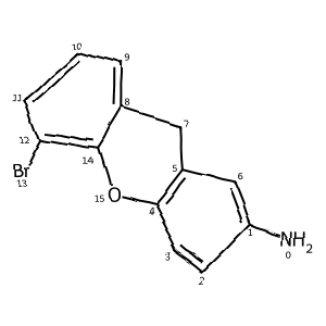 Nc1ccc2c(c1)Cc1cccc(Br)c1O2